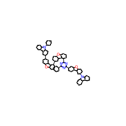 c1ccc(-c2nc(-c3ccc4c(c3)oc3ccc(-n5c6ccccc6c6ccccc65)cc34)nc(-c3cccc4oc5ccc(-c6cccc7oc8ccc(-c9ccc%10c(c9)c9ccccc9n%10-c9ccccc9)cc8c67)cc5c34)n2)cc1